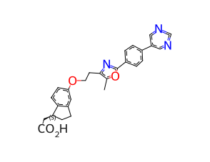 Cc1oc(-c2ccc(-c3cncnc3)cc2)nc1CCOc1ccc2c(c1)CC[C@H]2CC(=O)O